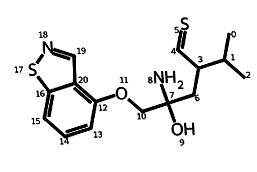 CC(C)C(C=S)CC(N)(O)COc1cccc2sncc12